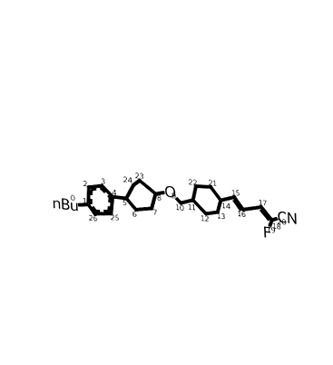 CCCCc1ccc(C2CCC(OCC3CCC(C=CC=C(F)C#N)CC3)CC2)cc1